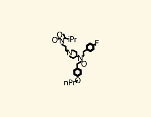 CCCOc1ccc(CC(=O)N(CCc2ccc(F)cc2)C2CCN(CCCN3C(=O)OCC3C(C)C)CC2)cc1